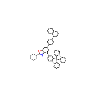 c1ccc2c(c1)-c1ccccc1C21c2ccccc2-c2ccc(-c3cc(-c4ccc(-c5cccc6ccccc56)cc4)cc4oc(C5CCCCC5)nc34)cc21